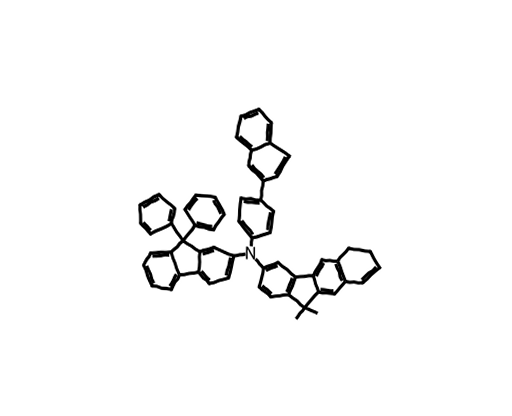 CC1(C)c2ccc(N(c3ccc(-c4ccc5ccccc5c4)cc3)c3ccc4c(c3)C(c3ccccc3)(c3ccccc3)c3ccccc3-4)cc2-c2cc3c(cc21)C=CCC3